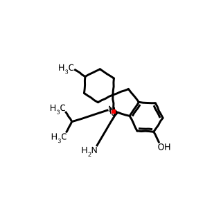 CC1CCC2(CC1)Cc1ccc(O)cc1C21N=C(N)N(C(C)C)O1